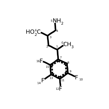 CC(CC(CN)C(=O)O)c1cc(F)c(F)c(F)c1F